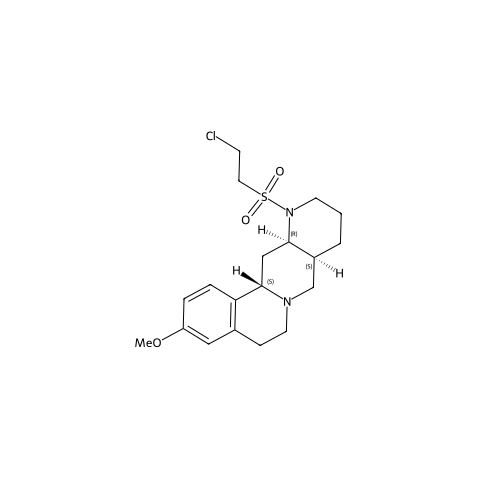 COc1ccc2c(c1)CCN1C[C@@H]3CCCN(S(=O)(=O)CCCl)[C@@H]3C[C@@H]21